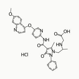 COc1ccc2c(Oc3ccc(NC(=O)c4c(C)n(CC(C)NCC(=O)O)n(-c5ccccc5)c4=O)nc3)ccnc2c1.Cl